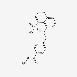 COC(=O)c1ccc(COc2cccc3cccc(S(=O)(=O)O)c23)cc1